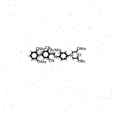 CCCCC(CC)CN(CCOC)c1ccc(N=Nc2c(C#N)cc(-c3c(OC)cccc3OC)cc2C#N)c(NC(C)=O)c1